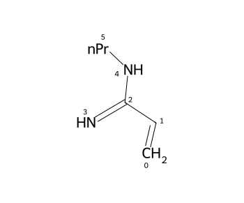 C=CC(=N)NCCC